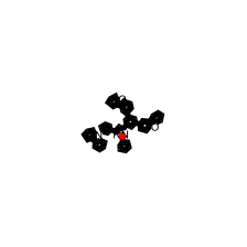 c1ccc(-c2nc(-c3cc(-c4ccc5oc6ccccc6c5c4)cc(-c4ccc5oc6ccccc6c5c4)c3)cc(-c3cccc(-n4c5ccccc5c5ccccc54)c3)n2)cc1